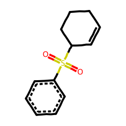 O=S(=O)(c1ccccc1)C1C=CCCC1